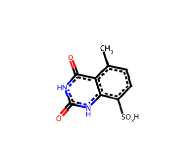 Cc1ccc(S(=O)(=O)O)c2[nH]c(=O)[nH]c(=O)c12